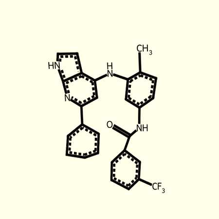 Cc1ccc(NC(=O)c2cccc(C(F)(F)F)c2)cc1Nc1cc(-c2ccccc2)nc2[nH]ccc12